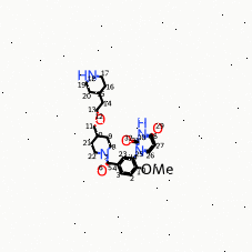 COc1ccc(C(=O)N2CCC(COCCC3CCNCC3)CC2)cc1-n1ccc(=O)[nH]c1=O